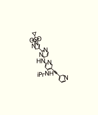 CC(C)Nc1cc(Nc2ccnc(-c3cnn(S(=O)(=O)C4CC4)c3)n2)ncc1C#Cc1cccnc1